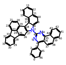 c1ccc(-c2nc(-n3c4ccc5ccccc5c4c4c5cccc6c5c(cc43)-c3ccccc3-6)nc3c2ccc2ccccc23)cc1